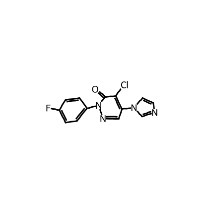 O=c1c(Cl)c(-n2ccnc2)cnn1-c1ccc(F)cc1